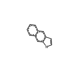 C1=Cc2cc3ccccc3cc2[N]1